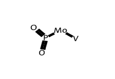 O=[P](=O)[Mo][V]